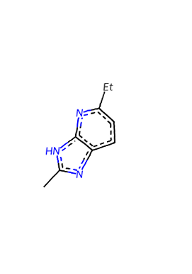 CCc1ccc2nc(C)[nH]c2n1